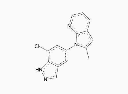 Cc1cc2cccnc2n1-c1cc(Cl)c2[nH]ncc2c1